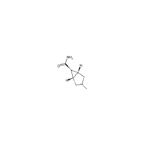 CC1C[C@@H]2[C@H](C1)[C@H]2C(N)=O